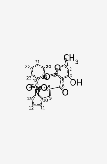 Cc1cc(O)c(C(=O)/C=C/c2cccn2S(=O)(=O)c2ccccc2)c(=O)o1